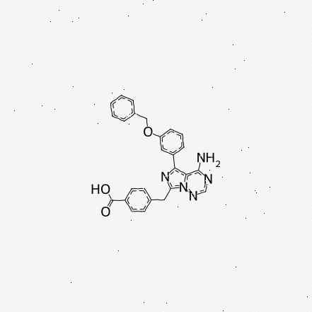 Nc1ncnn2c(Cc3ccc(C(=O)O)cc3)nc(-c3cccc(OCc4ccccc4)c3)c12